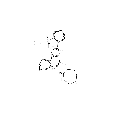 C[S@](=N)(=O)c1ccccc1-c1nc2c3ccccc3nc(N[C@@H]3CCCCNC3=O)n2n1